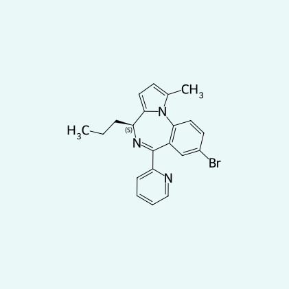 CCC[C@@H]1N=C(c2ccccn2)c2cc(Br)ccc2-n2c(C)ccc21